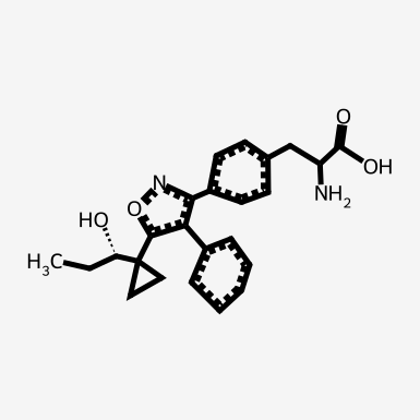 CC[C@H](O)C1(c2onc(-c3ccc(CC(N)C(=O)O)cc3)c2-c2ccccc2)CC1